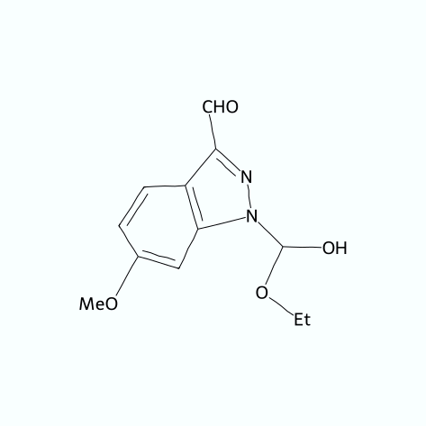 CCOC(O)n1nc(C=O)c2ccc(OC)cc21